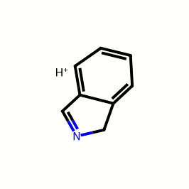 C1=NCc2ccccc21.[H+]